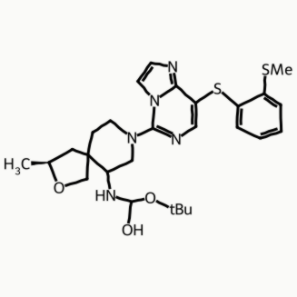 CSc1ccccc1Sc1cnc(N2CCC3(CO[C@@H](C)C3)C(NC(O)OC(C)(C)C)C2)n2ccnc12